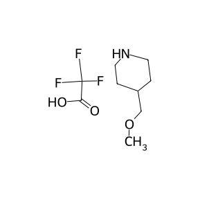 COCC1CCNCC1.O=C(O)C(F)(F)F